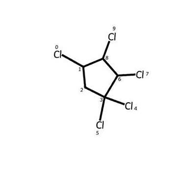 ClC1CC(Cl)(Cl)C(Cl)C1Cl